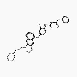 COc1cc2c(Oc3ccc(NC(=O)NC(=O)Cc4ccccc4)c(F)c3)ccnc2cc1OCCCN1CCOCC1